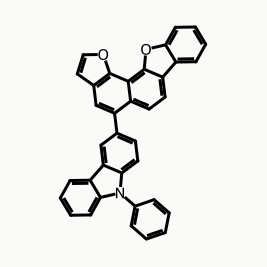 c1ccc(-n2c3ccccc3c3cc(-c4cc5ccoc5c5c4ccc4c6ccccc6oc45)ccc32)cc1